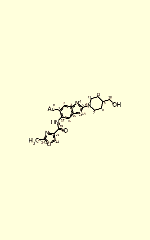 CC(=O)c1cc2nc(N3CCC(CO)CC3)sc2cc1NC(=O)c1coc(C)n1